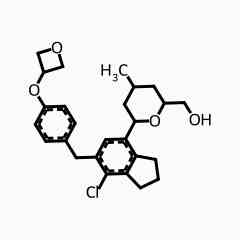 CC1CC(CO)OC(c2cc(Cc3ccc(OC4COC4)cc3)c(Cl)c3c2CCC3)C1